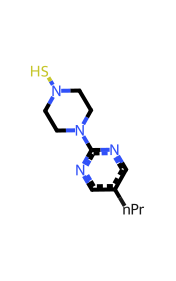 CCCc1cnc(N2CCN(S)CC2)nc1